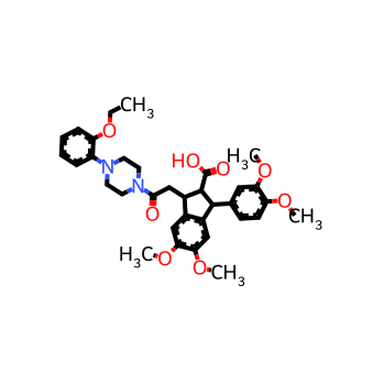 CCOc1ccccc1N1CCN(C(=O)CC2c3cc(OC)c(OC)cc3C(c3ccc(OC)c(OC)c3)C2C(=O)O)CC1